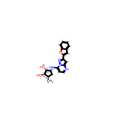 [CH2][C@@H]1C[C@@H](Nc2ccnc3cc(-c4cc5ccccc5o4)nn23)[C@H](O)[C@@H]1O